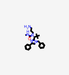 CNC(=O)N(CCCN)[C@@H](c1nc(-c2ccccc2)cn1Cc1ccccc1)C(C)(C)C